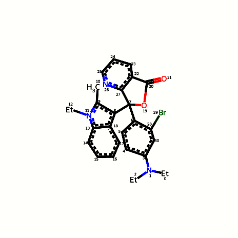 CCN(CC)c1ccc(C2(c3c(C)n(CC)c4ccccc34)OC(=O)c3cccnc32)c(Br)c1